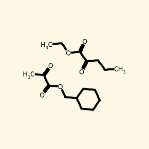 CC(=O)C(=O)OCC1CCCCC1.CCCC(=O)C(=O)OCC